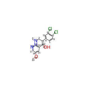 CNCC(c1ccc(Cl)c(Cl)c1)[C@H](O)c1cncc(OC)c1